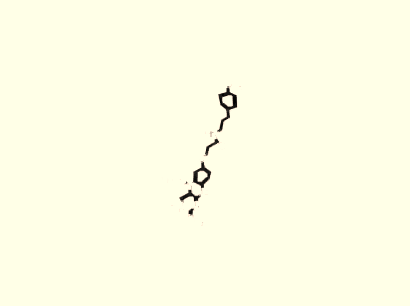 C=C/N=C(Nc1ccc(OCCC(=O)NCCCc2ccc(C)cc2)cc1)\C(=C/C)N=C